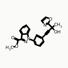 COC(=O)c1nn(-c2cccc(C#CC(C)(O)c3ncco3)c2)c2ccccc12